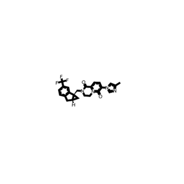 Cc1cn(-c2ccc3n(c2=O)CCN(C[C@@]24C[C@@H]2Cc2ccc(C(F)(F)F)cc24)C3=O)cn1